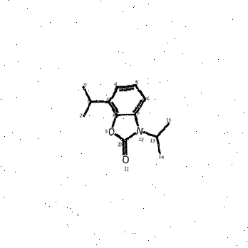 CC(C)c1cccc2c1oc(=O)n2C(C)C